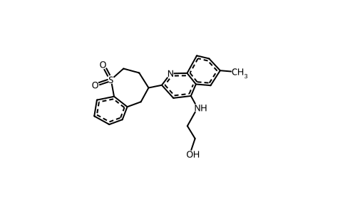 Cc1ccc2nc(C3CCS(=O)(=O)c4ccccc4C3)cc(NCCO)c2c1